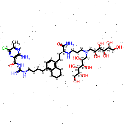 Cc1nc(N)c(C(=O)NC(=N)NCCCCc2ccc(CC[C@H](NCCCN(C[C@H](O)[C@@H](O)[C@H](O)[C@H](O)CO)C[C@H](O)[C@@H](O)[C@H](O)[C@H](O)CO)C(N)=O)c3c2CCCC3)nc1Cl